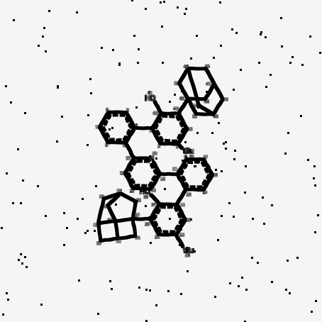 CC(C)(C)c1cc(-c2ccccc2-c2cccc(-c3ccccc3-c3cc(C(C)(C)C)cc(C45CC6CC7CC(C4)C75C6)c3O)n2)c(O)c(C23CC4CC(CC(C4)C2)C3)c1